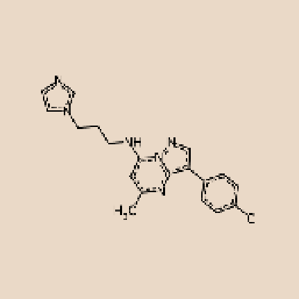 Cc1cc(NCCCn2ccnc2)n2ncc(-c3ccc(Cl)cc3)c2n1